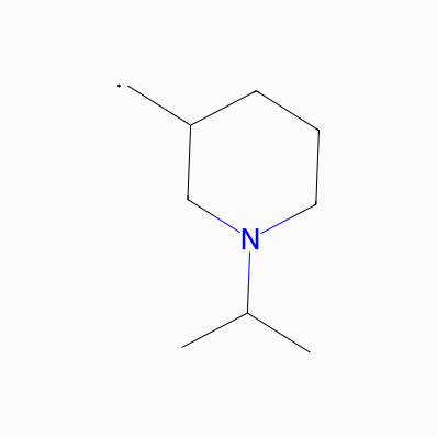 [CH2]C1CCCN(C(C)C)C1